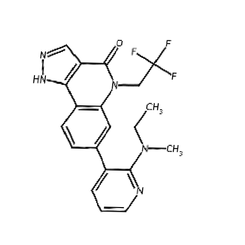 CCN(C)c1ncccc1-c1ccc2c3[nH]ncc3c(=O)n(CC(F)(F)F)c2c1